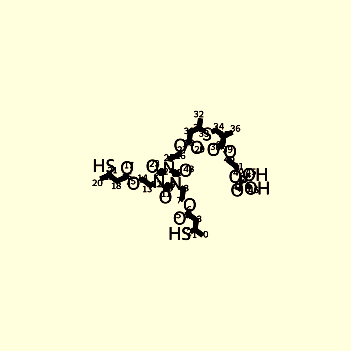 CC(S)CC(=O)OCCn1c(=O)n(CCOC(=O)CC(C)S)c(=O)n(CCOC(=O)CC(C)SCC(C)C(=O)OCCOP(=O)(O)O)c1=O